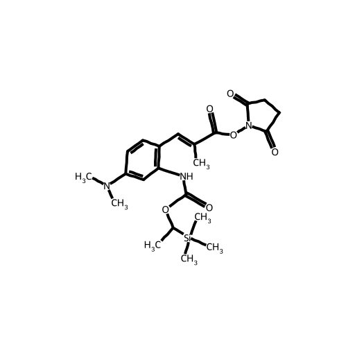 CC(=Cc1ccc(N(C)C)cc1NC(=O)OC(C)[Si](C)(C)C)C(=O)ON1C(=O)CCC1=O